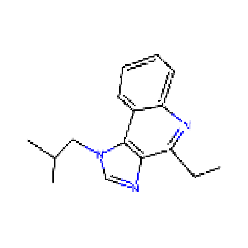 CCc1nc2ccccc2c2c1ncn2CC(C)C